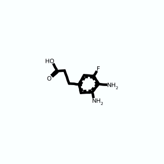 Nc1cc(CCC(=O)O)cc(F)c1N